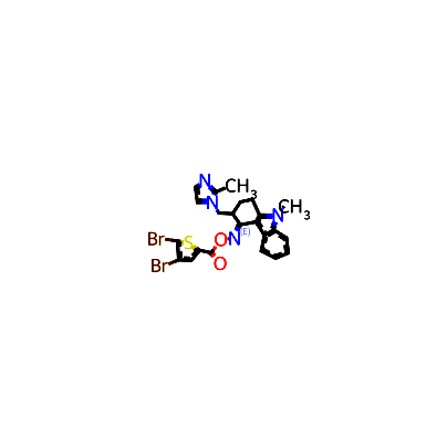 Cc1nccn1CC1CCc2c(c3ccccc3n2C)/C1=N/OC(=O)c1cc(Br)c(Br)s1